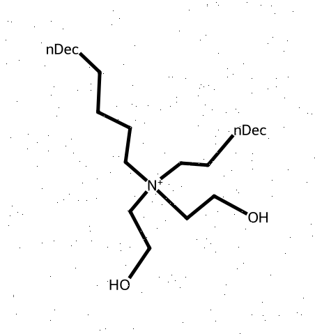 CCCCCCCCCCCCCC[N+](CCO)(CCO)CCCCCCCCCCCC